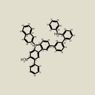 Nc1cc2c(cc1-c1ccccc1)c1cc(-c3cccc(-c4ccccc4Nc4ccccc4)c3)ccc1n2-c1ccc2ccccc2c1